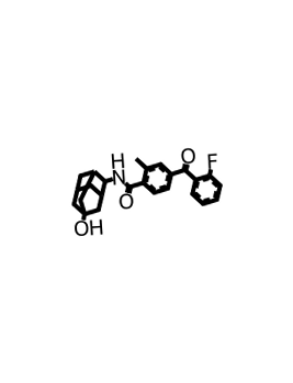 Cc1cc(C(=O)c2ccccc2F)ccc1C(=O)NC1C2CC3CC1CC(O)(C3)C2